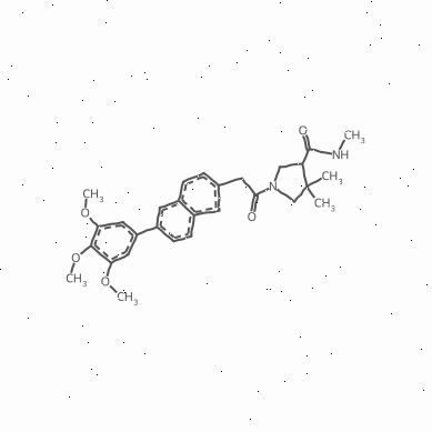 CNC(=O)C1CN(C(=O)Cc2ccc3cc(-c4cc(OC)c(OC)c(OC)c4)ccc3c2)CC1(C)C